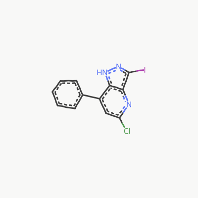 Clc1cc(-c2ccccc2)c2[nH]nc(I)c2n1